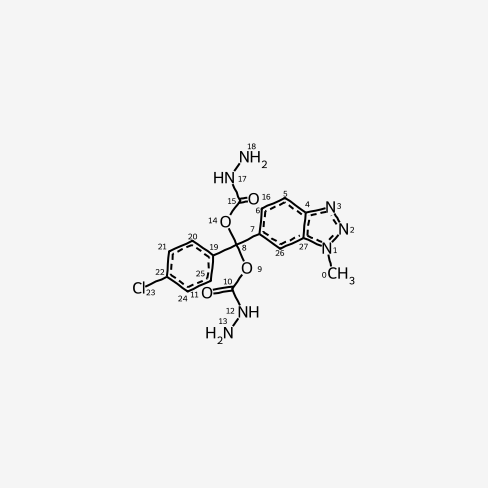 Cn1nnc2ccc(C(OC(=O)NN)(OC(=O)NN)c3ccc(Cl)cc3)cc21